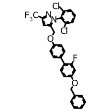 Fc1cc(OCc2ccccc2)ccc1-c1ccc(OCc2cc(C(F)(F)F)nn2-c2c(Cl)cccc2Cl)cc1